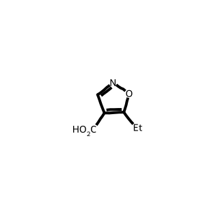 CCc1oncc1C(=O)O